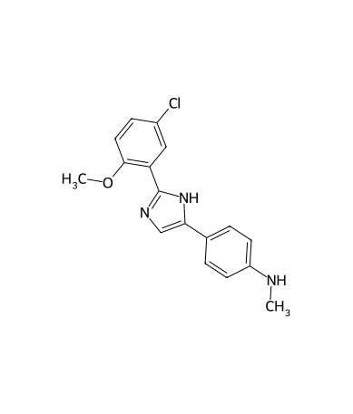 CNc1ccc(-c2cnc(-c3cc(Cl)ccc3OC)[nH]2)cc1